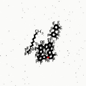 CCCCCCCCC[NH2+]C(F)(F)C(F)(F)F.FC1=C(F)[CH]([Al-]([CH]2C(F)=C(F)c3c2cc(F)c(F)c3F)([CH]2C(F)=C(F)c3c2cc(F)c(F)c3F)[CH]2C(F)=C(F)c3c2cc(F)c(F)c3F)c2cc(F)c(F)c(F)c21.Fc1c(F)c(F)c(-c2c(F)c(F)c(F)c(F)c2F)c(F)c1F